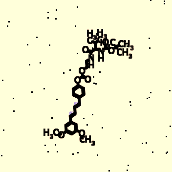 COc1cc(/C=C/C=C/c2ccc(OC(=O)OCCNC(=O)C(NC(=O)OC(C)(C)C)C(C)C)cc2)cc(OC)c1